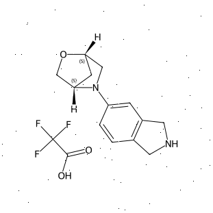 O=C(O)C(F)(F)F.c1cc2c(cc1N1C[C@@H]3C[C@H]1CO3)CNC2